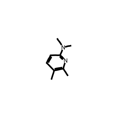 Cc1ccc(N(C)C)nc1C